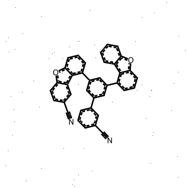 N#Cc1cccc(-c2cc(-c3cccc4oc5ccccc5c34)cc(-c3cccc4oc5ccc(C#N)cc5c34)c2)c1